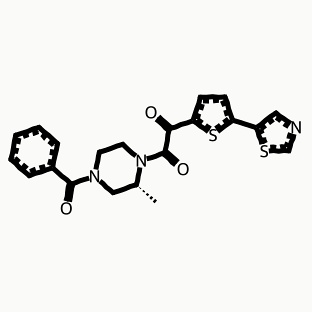 C[C@@H]1CN(C(=O)c2ccccc2)CCN1C(=O)C(=O)c1ccc(-c2cncs2)s1